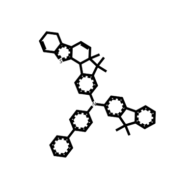 CC1(C)c2ccccc2-c2ccc(N(c3ccc(-c4ccccc4)cc3)c3ccc4c(c3)C(C)(C)C3(C)C=Cc5c(sc6c5CCC=C6)C43)cc21